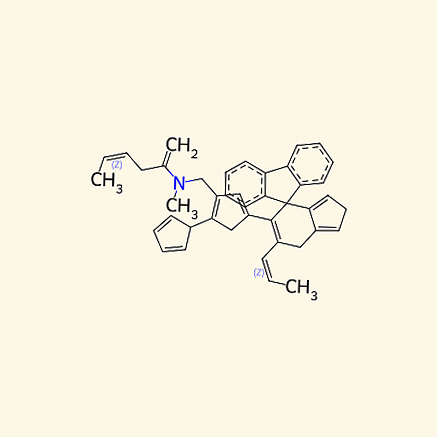 C=C(C/C=C\C)N(C)CC1=C(C2C=CC=C2)CC(C2=C(/C=C\C)CC3=CCC=C3C23c2ccccc2-c2ccccc23)=C1